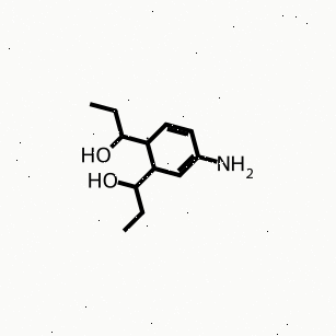 CCC(O)[C]1C=CC(N)=CC1C(O)CC